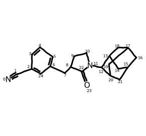 N#Cc1cccc(CC2CCN(C3C4CC5CC(C4)CC3C5)C2=O)c1